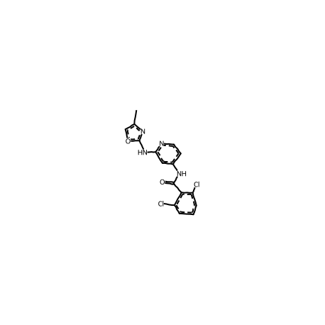 Cc1coc(Nc2cc(NC(=O)c3c(Cl)cccc3Cl)ccn2)n1